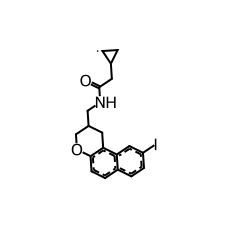 O=C(CC1[CH]C1)NCC1COc2ccc3ccc(I)cc3c2C1